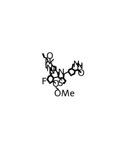 C=CC(=O)N1CCn2nc(-c3nc(-c4ccc5c(=O)n(C)ncc5c4)c4ccsc4c3-c3c(F)cc(F)cc3OCCOC)cc2C1C